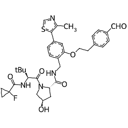 Cc1ncsc1-c1ccc(CNC(=O)[C@@H]2C[C@@H](O)CN2C(=O)[C@@H](NC(=O)C2(F)CC2)C(C)(C)C)c(OCCc2ccc(C=O)cc2)c1